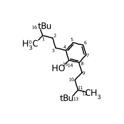 CC(CCc1cccc(CCC(C)C(C)(C)C)c1O)C(C)(C)C